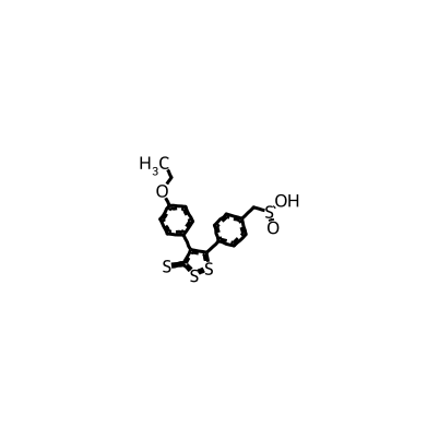 CCOc1ccc(-c2c(-c3ccc(CS(=O)O)cc3)ssc2=S)cc1